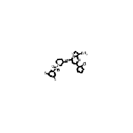 Bc1cnn2c(NCC3CCCN(S(=O)(=O)c4cc(F)cc(F)c4)C3)cc(-c3ccccc3Cl)nc12